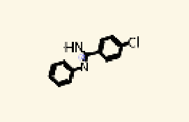 [NH]/C(=N\c1ccccc1)c1ccc(Cl)cc1